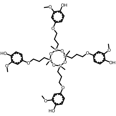 COc1cc(OCCC[Si]2(C)O[Si](C)(CCCOc3ccc(O)c(OC)c3)O[Si](C)(CCCOc3ccc(O)c(OC)c3)O[Si](C)(CCCOc3ccc(O)c(OC)c3)O2)ccc1O